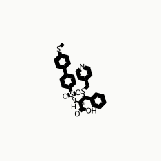 CSc1ccc(-c2ccc(S(=O)(=O)N[C@@H](C(=O)O)[C@H](SCc3ccncc3)c3ccccc3)cc2)cc1